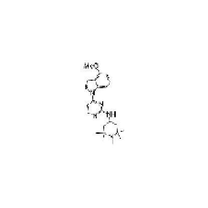 COc1cccc2c1ccn2-c1ccnc(NC2CC(C)(C)NC(C)(C)C2)n1